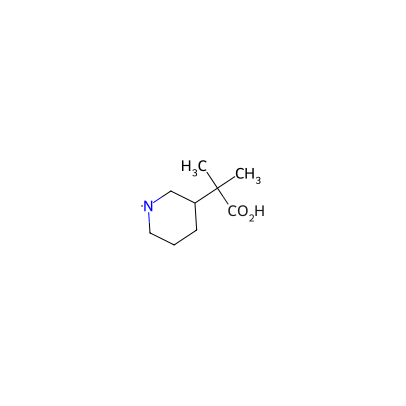 CC(C)(C(=O)O)C1CCC[N]C1